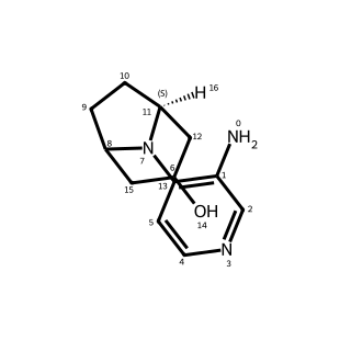 Nc1cnccc1N1C2CC[C@H]1CC(O)C2